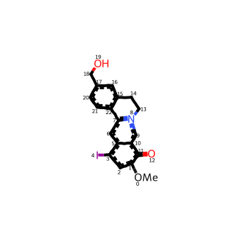 COc1cc(I)c2cc3n(cc-2c1=O)CCc1cc(CO)ccc1-3